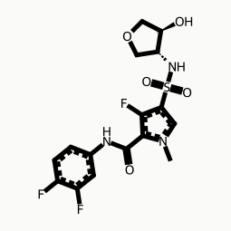 Cn1cc(S(=O)(=O)N[C@@H]2COC[C@H]2O)c(F)c1C(=O)Nc1ccc(F)c(F)c1